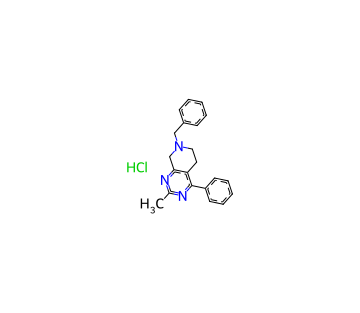 Cc1nc2c(c(-c3ccccc3)n1)CCN(Cc1ccccc1)C2.Cl